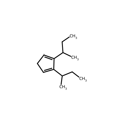 CCC(C)C1=[C]CC=C1C(C)CC